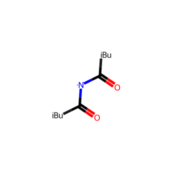 CCC(C)C(=O)[N]C(=O)C(C)CC